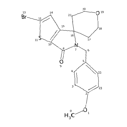 COc1ccc(CN2C(=O)c3sc(Br)cc3C23CCOCC3)cc1